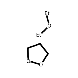 C1COOC1.CCOCC